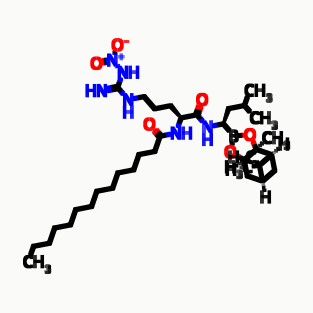 CCCCCCCCCCCCCC(=O)N[C@@H](CCCNC(=N)N[N+](=O)[O-])C(=O)N[C@@H](CC(C)C)B1O[C@@H]2C[C@@H]3C[C@@H](C3(C)C)[C@]2(C)O1